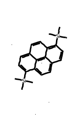 C[Si](C)(C)c1ccc2ccc3c([Si](C)(C)C)ccc4ccc1c2c43